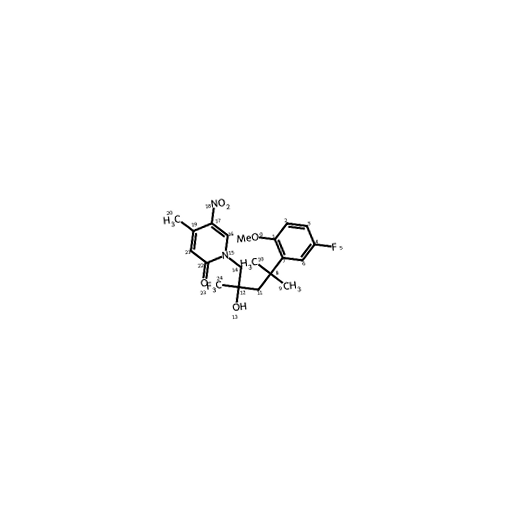 COc1ccc(F)cc1C(C)(C)CC(O)(Cn1cc([N+](=O)[O-])c(C)cc1=O)C(F)(F)F